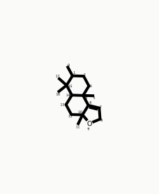 CC1CCC2(C)C3=CCOC3(C)CCC2C1(C)C